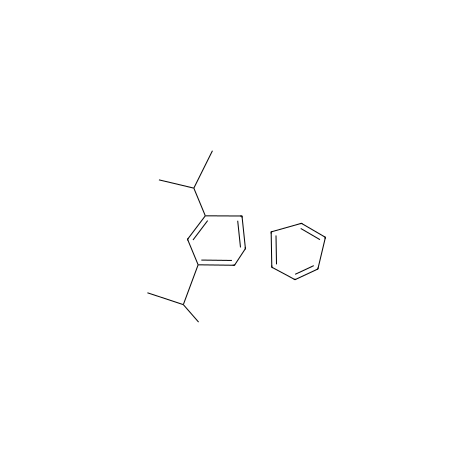 CC(C)c1cccc(C(C)C)c1.c1ccccc1